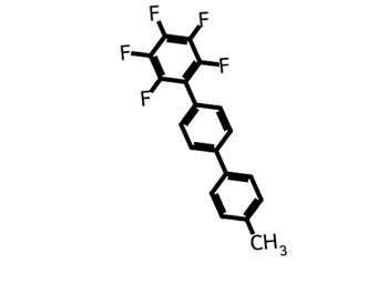 Cc1ccc(-c2ccc(-c3c(F)c(F)c(F)c(F)c3F)cc2)cc1